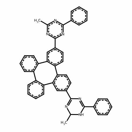 Cc1nc(-c2ccccc2)nc(-c2ccc3c(c2)-c2ccccc2-c2ccccc2-c2cc(C4=NC(C)NC(c5ccccc5)=N4)ccc2-3)n1